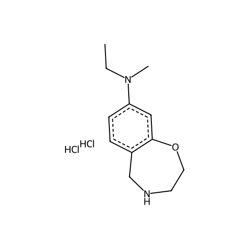 CCN(C)c1ccc2c(c1)OCCNC2.Cl.Cl